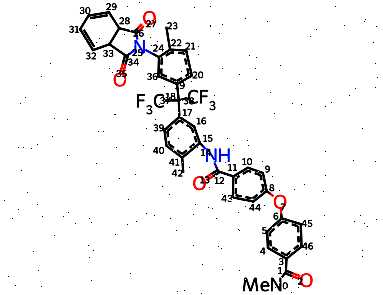 CNC(=O)c1ccc(Oc2ccc(C(=O)Nc3cc(C(c4ccc(C)c(N5C(=O)C6C=CC=CC6C5=O)c4)(C(F)(F)F)C(F)(F)F)ccc3C)cc2)cc1